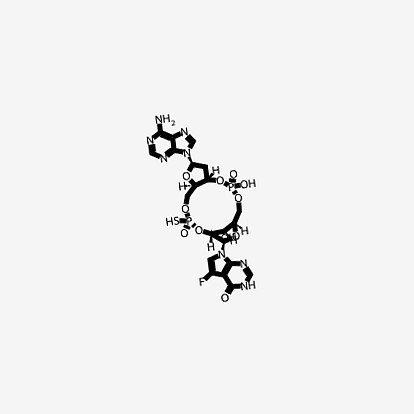 Nc1ncnc2c1ncn2[C@H]1C[C@@H]2OP(=O)(O)OC[C@H]3O[C@@H](n4cc(F)c5c(=O)[nH]cnc54)[C@H](OP(=O)(S)OC[C@H]2O1)[C@@H]3O